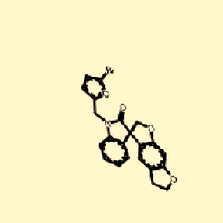 O=C1N(Cc2ccc(Br)o2)c2ccccc2C12COc1cc3c(cc12)CCO3